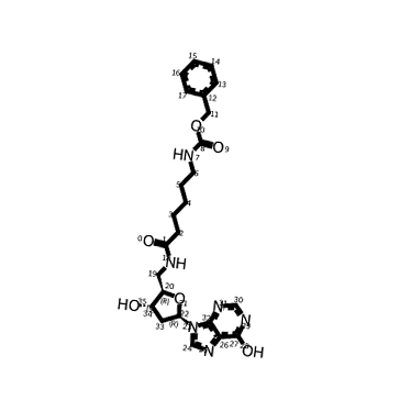 O=C(CCCCCNC(=O)OCc1ccccc1)NC[C@H]1O[C@@H](n2cnc3c(O)ncnc32)C[C@@H]1O